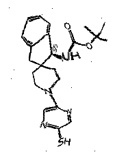 CC(C)(C)OC(=O)N[C@@H]1c2ccccc2CC12CCN(c1cnc(S)cn1)CC2